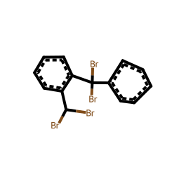 BrC(Br)c1ccccc1C(Br)(Br)c1ccccc1